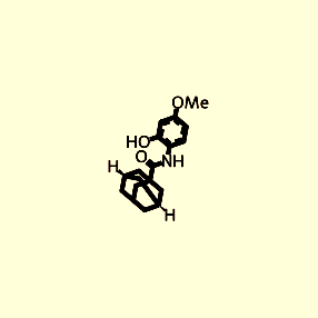 COc1ccc(NC(=O)C23CC4C[C@H](C2)C[C@H](C4)C3)c(O)c1